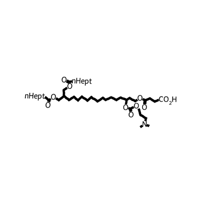 CCCCCCCC(=O)OCC(CCCCCCCCCCCCC(CCOC(=O)CCC(=O)O)OC(=O)OCCCN(C)C)COC(=O)CCCCCCC